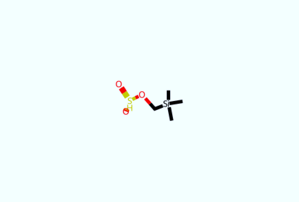 C[Si](C)(C)CO[SH](=O)=O